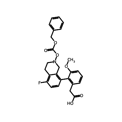 COc1cccc(CC(=O)O)c1-c1ccc(F)c2c1CN(OC(=O)OCc1ccccc1)CC2